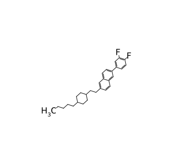 CCCCCC1CCC(CCc2ccc3cc(-c4ccc(F)c(F)c4)ccc3c2)CC1